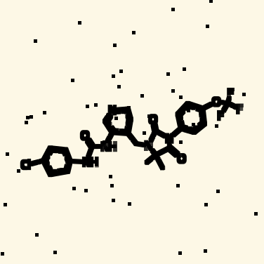 CC1(C)C(=O)N(c2ccc(OC(F)(F)F)cc2)C(=O)N1Cc1ccncc1NC(=O)Nc1ccc(Cl)cc1